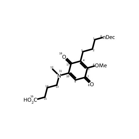 CCCCCCCCCCCCCC1=C(OC)C(=O)C=C(N(C)CCCC(=O)O)C1=O